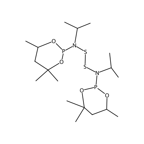 CC1CC(C)(C)OP(N(SSN(C(C)C)P2OC(C)CC(C)(C)O2)C(C)C)O1